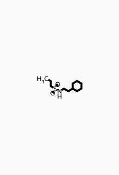 CCCS(=O)(=O)NCCC1CCCCC1